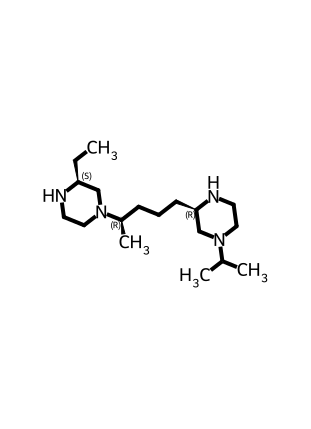 CC[C@H]1CN([C@H](C)CCC[C@@H]2CN(C(C)C)CCN2)CCN1